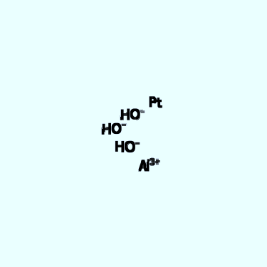 [Al+3].[OH-].[OH-].[OH-].[Pt]